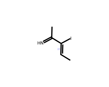 C/C=C(\I)C(C)=N